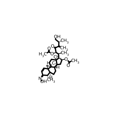 C=C(C(=O)[C@H](OC(C)=O)[C@@H](C)[C@H]1[C@@H](OC(C)=O)C[C@@]2(C)[C@@H]3CC[C@H]4[C@H](C)/C(=N\O)C=C[C@@]45C[C@@]35CC[C@]12C)[C@@H](C)CO